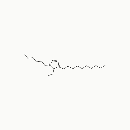 CCCCCCCCCCN1C=CN(CCCCCC)C1CC